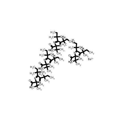 CCC(C)(C)C1=NC(C(=O)O)(C(C)(C)C)N=C1C(C)(C)CC.CCC(C)(C)C1=NC(C(=O)O)(C(C)(C)C)N=C1C(C)(C)CC.CCC(C)(C)C1=NC(C(=O)[O-])(C(C)(C)C)N=C1C(C)(C)CC.CCC(C)(C)C1=NC(C(=O)[O-])(C(C)(C)C)N=C1C(C)(C)CC.[Ba+2]